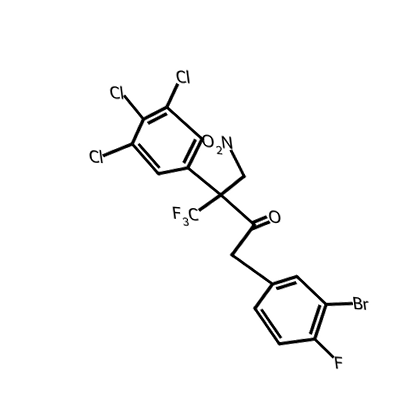 O=C(Cc1ccc(F)c(Br)c1)C(C[N+](=O)[O-])(c1cc(Cl)c(Cl)c(Cl)c1)C(F)(F)F